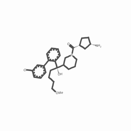 COCCCC[C@@](O)(c1ccccc1-c1cccc(Cl)c1)C1CCCN(C(=O)[C@@H]2CC[C@H](N)C2)C1